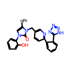 CCCc1cn(-c2ccccc2O)c(=O)n1Cc1ccc(-c2ccccc2-c2nnn[nH]2)nc1